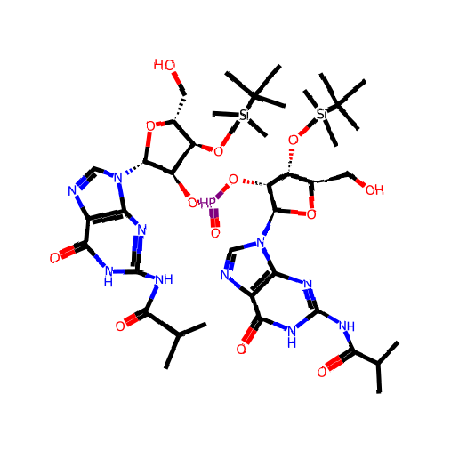 CC(C)C(=O)Nc1nc2c(ncn2[C@@H]2O[C@H](CO)[C@@H](O[Si](C)(C)C(C)(C)C)[C@H]2O[PH](=O)O[C@@H]2[C@H](O[Si](C)(C)C(C)(C)C)[C@@H](CO)O[C@H]2n2cnc3c(=O)[nH]c(NC(=O)C(C)C)nc32)c(=O)[nH]1